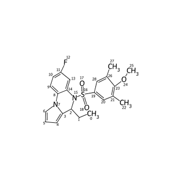 CCC1c2cccn2-c2ccc(F)cc2N1S(=O)(=O)c1cc(C)c(OC)c(C)c1